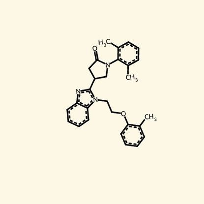 Cc1ccccc1OCCn1c(C2CC(=O)N(c3c(C)cccc3C)C2)nc2ccccc21